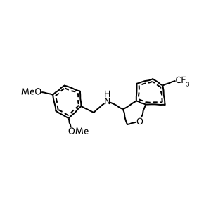 COc1ccc(CNC2COc3cc(C(F)(F)F)ccc32)c(OC)c1